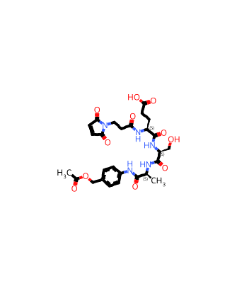 CC(=O)OCc1ccc(NC(=O)[C@H](C)NC(=O)[C@H](CO)NC(=O)[C@H](CCC(=O)O)NC(=O)CCN2C(=O)C=CC2=O)cc1